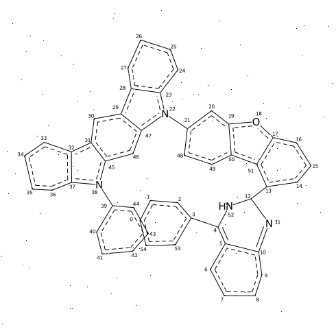 c1ccc(C2=c3ccccc3=NC(c3cccc4oc5cc(-n6c7ccccc7c7cc8c9ccccc9n(-c9ccccc9)c8cc76)ccc5c34)N2)cc1